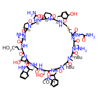 CCCC[C@H]1C(=O)N(C)[C@@H](CCCC)C(=O)N[C@@H](CN)C(=O)N[C@H](C(=O)NCC(N)=O)CSCC(=O)N[C@@H](Cc2ccc(O)cc2)C(=O)N2CCCC[C@H]2C(=O)N[C@@H](CC(N)=O)C(=O)N2CCC[C@H]2C(=O)N[C@@H](CN)C(=O)N[C@@H](CCC(=O)O)C(=O)N2C[C@H](O)C[C@H]2C(=O)N[C@@H](Cc2c[nH]c3ccccc23)C(=O)N[C@@H](CO)C(=O)N[C@@H](Cc2cn(CC(=O)O)c3ccccc23)C(=O)N1C